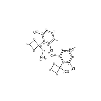 Cl.N#CC1(c2c(Cl)cccc2Cl)CCC1.NCC1(c2c(Cl)cccc2Cl)CCC1